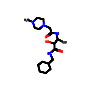 CCCC(NC(=O)CN1CCN(C)CC1)C(O)C(=O)NCC1CCCCC1